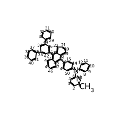 Cc1cccc(N(c2ccccc2)c2ccc(-c3c4ccccc4c(-c4cc(-c5ccccc5)cc(-c5ccccc5)c4)c4ccccc34)cc2)n1